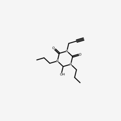 C#CCN1C(=O)N(CCC)C(O)N(CCC)C1=O